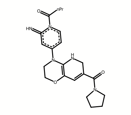 CCCC(=O)n1ccc(N2CCOC3=C2NCC(C(=O)N2CCCC2)=C3)cc1=N